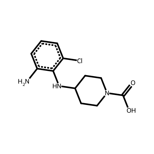 Nc1cccc(Cl)c1NC1CCN(C(=O)O)CC1